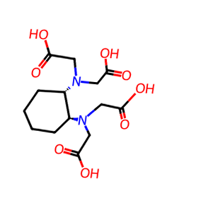 O=C(O)CN(CC(=O)O)[C@H]1CCCC[C@@H]1N(CC(=O)O)CC(=O)O